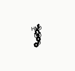 C=CC(=O)NC1CC(C)N(S(=O)(=O)c2ccc(Oc3ccccc3)cc2)C(C)C1